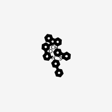 CC1(c2cccc3c2oc2c(N(c4ccc(-c5ccccc5)cc4)c4cccc5c4sc4ccccc45)cccc23)c2ccccc2-c2ccccc21